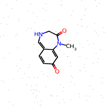 CN1C(=O)CNC=C2C=CC(=O)C=C21